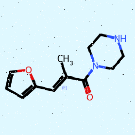 C/C(=C\c1ccco1)C(=O)N1CCNCC1